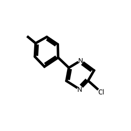 Cc1ccc(-c2cnc(Cl)cn2)cc1